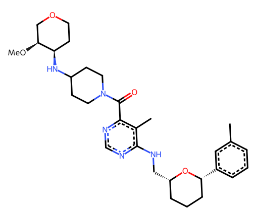 CO[C@H]1COCC[C@H]1NC1CCN(C(=O)c2ncnc(NC[C@H]3CCC[C@@H](c4cccc(C)c4)O3)c2C)CC1